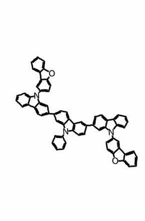 c1ccc(-n2c3ccc(-c4ccc5c6ccccc6n(-c6ccc7oc8ccccc8c7c6)c5c4)cc3c3ccc(-c4ccc5c6ccccc6n(-c6ccc7oc8ccccc8c7c6)c5c4)cc32)cc1